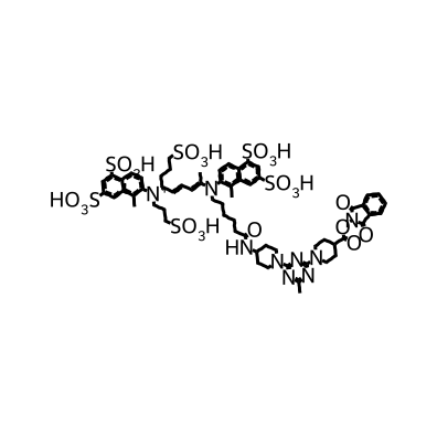 C\C(=C/C=C/C(CCCS(=O)(=O)O)=[N+](\CCCS(=O)(=O)O)c1ccc2c(S(=O)(=O)O)cc(S(=O)(=O)O)cc2c1C)N(CCCCCC(=O)NC1CCN(c2nc(C)nc(N3CCC(C(=O)ON4C(=O)c5ccccc5C4=O)CC3)n2)CC1)c1ccc2c(S(=O)(=O)O)cc(S(=O)(=O)O)cc2c1C